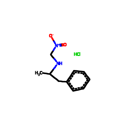 CC(Cc1ccccc1)NC[N+](=O)[O-].Cl